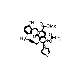 CC#CCN1c2c(cc(C(=O)OC)n(Cc3ccccc3C#N)c2=O)N(OC(=O)C(F)(F)F)C1N1CCNCC1